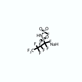 O=S(=O)(F)NS(=O)(=O)C(F)(F)C(F)(F)C(F)(F)C(F)(F)F.[NaH]